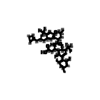 Cc1cc(C)c(-c2cc(C(F)(F)F)c(F)c(C(CC(=O)O)NC(=O)C(CC(C)C)n3cc(CCCN4CCC4)c(C(F)(F)F)cc3=O)c2F)c(F)c1